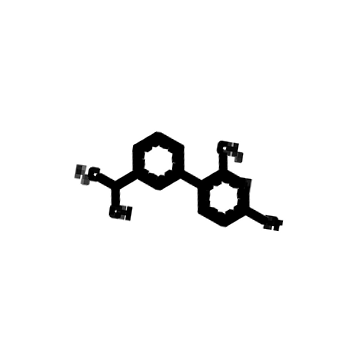 Cc1nc(C(C)C)ccc1-c1cccc(C(O)C(F)(F)F)c1